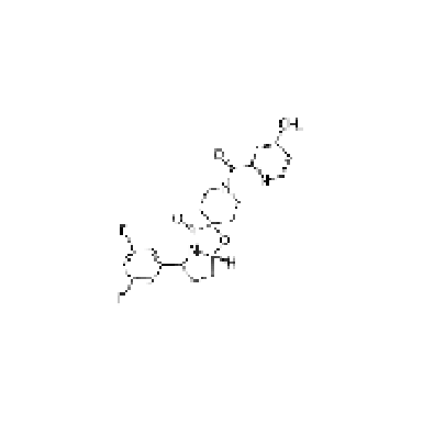 Cc1ccnc(C(=O)N2CCC3(CC2)O[C@@H]2CC[C@@H](c4cc(F)cc(F)c4)N2C3=O)c1